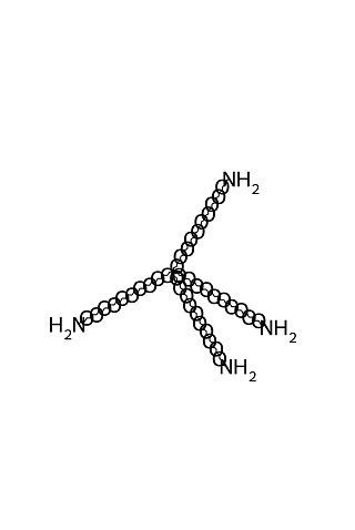 NCCOCCOCCOCCOCCOCCOCCOCCOCCOCCOCC(COCCOCCOCCOCCOCCOCCOCCOCCOCCOCCN)(COCCOCCOCCOCCOCCOCCOCCOCCOCCOCCN)COCCOCCOCCOCCOCCOCCOCCOCCOCCOCCN